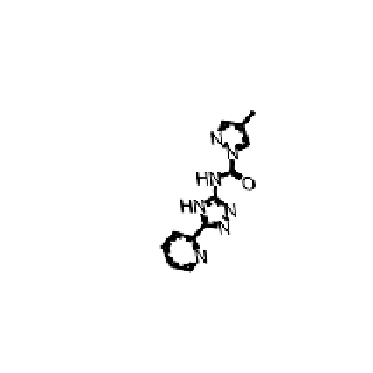 Cc1cnn(C(=O)Nc2nnc(-c3ccccn3)[nH]2)c1